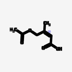 CC(=O)OC/C(C)=C\C(=O)O